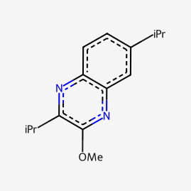 COc1nc2cc(C(C)C)ccc2nc1C(C)C